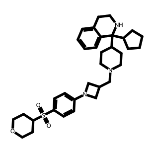 O=S(=O)(c1ccc(N2CC(CN3CCC(C4(C5CCCC5)NCCc5ccccc54)CC3)C2)cc1)C1CCOCC1